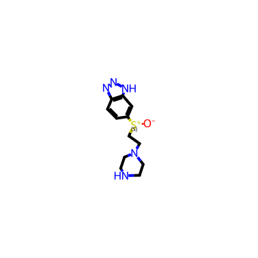 [O-][S@+](CCN1CCNCC1)c1ccc2nn[nH]c2c1